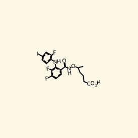 CC(CCCC(=O)O)ONC(=O)c1ccc(F)c(F)c1Nc1ccc(I)cc1F